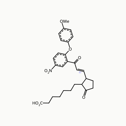 COc1ccc(Oc2ccc([N+](=O)[O-])cc2C(=O)/C=C/C2CCC(=O)C2CCCCCCC(=O)O)cc1